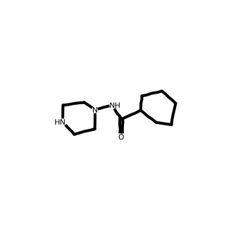 O=C(NN1CCNCC1)C1CCCCC1